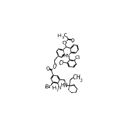 CCC1(NCc2cc(C(=O)OCc3ccc(C(OC(C)=O)c4ccccc4Nc4c(Cl)cccc4Cl)cc3)cc(Br)c2N)CCCCC1